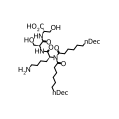 CCCCCCCCCCCCCCCC(=O)N(C(=O)CCCCCCCCCCCCCCC)[C@@H](CCCCN)C(=O)N[C@@H](CO)C(=O)N[C@@H](CO)C(=O)O